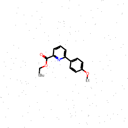 CCOc1ccc(-c2cccc(C(=O)OCC(C)(C)C)n2)cc1